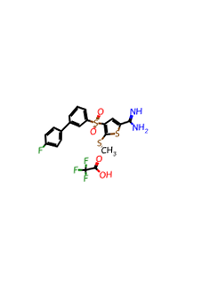 CSc1sc(C(=N)N)cc1S(=O)(=O)c1cccc(-c2ccc(F)cc2)c1.O=C(O)C(F)(F)F